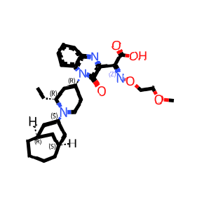 CC[C@@H]1C[C@H](n2c(=O)c(/C(=N/OCCOC)C(=O)O)nc3ccccc32)CCN1[C@@H]1C[C@@H]2CCCC[C@@H](C2)C1